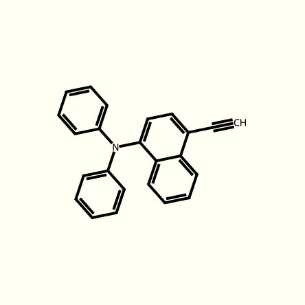 C#Cc1ccc(N(c2ccccc2)c2ccccc2)c2ccccc12